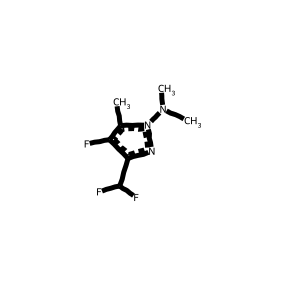 Cc1c(F)c(C(F)F)nn1N(C)C